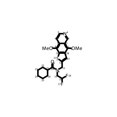 COc1c2cnccc2c(OC)c2sc(CN(CC(F)F)C(=O)C3CCCCC3)cc12